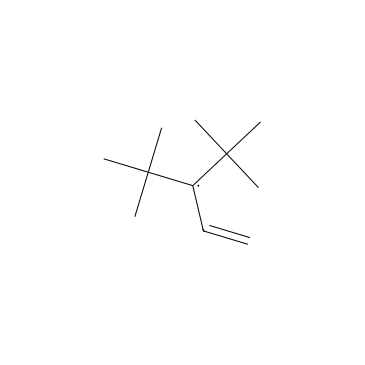 C=C[C](C(C)(C)C)C(C)(C)C